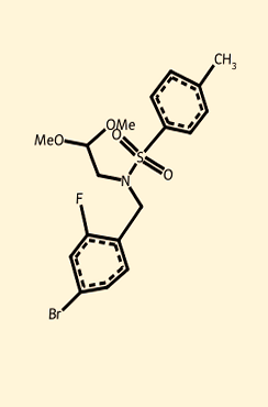 COC(CN(Cc1ccc(Br)cc1F)S(=O)(=O)c1ccc(C)cc1)OC